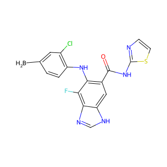 Bc1ccc(Nc2c(C(=O)Nc3nccs3)cc3[nH]cnc3c2F)c(Cl)c1